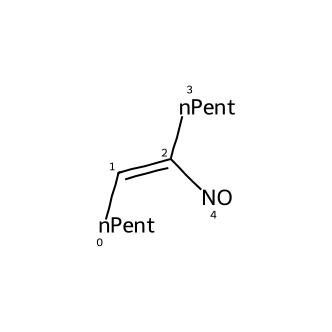 CCCCCC=C(CCCCC)N=O